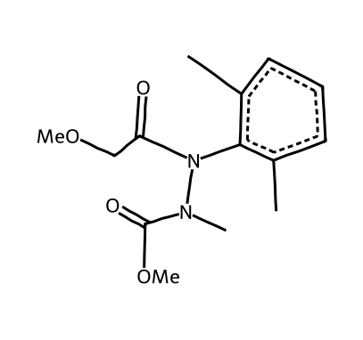 COCC(=O)N(c1c(C)cccc1C)N(C)C(=O)OC